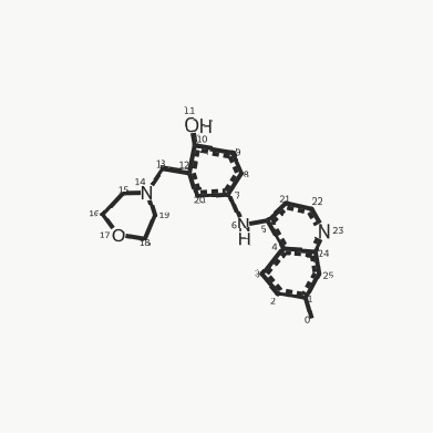 Cc1ccc2c(Nc3ccc(O)c(CN4CCOCC4)c3)ccnc2c1